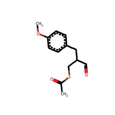 COc1ccc(CC(C=O)CSC(C)=O)cc1